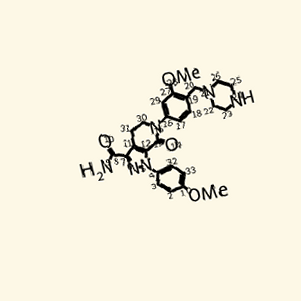 COc1ccc(-n2nc(C(N)=O)c3c2C(=O)N(c2ccc(CN4CCNCC4)c(OC)c2)CC3)cc1